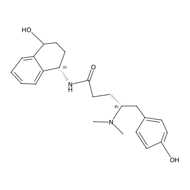 CN(C)[C@H](CCC(=O)N[C@H]1CCC(O)c2ccccc21)Cc1ccc(O)cc1